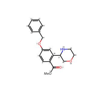 COC(=O)c1ccc(OCc2ccccc2)cc1C1COCCN1